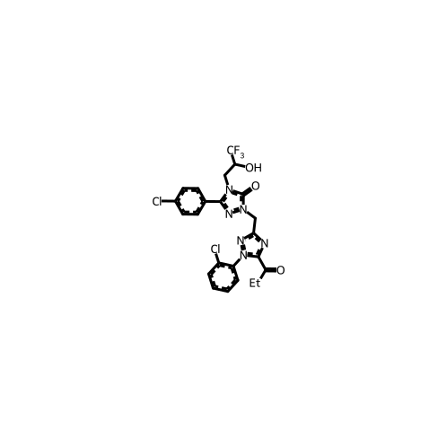 CCC(=O)c1nc(Cn2nc(-c3ccc(Cl)cc3)n(CC(O)C(F)(F)F)c2=O)nn1-c1ccccc1Cl